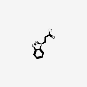 CCC(=O)CCn1nnc2ccccc21